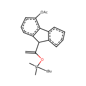 C=C(O[Si](C)(C)C(C)(C)C)C1c2ccccc2-c2c(OC(C)=O)cccc21